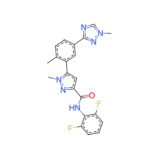 Cc1ccc(-c2ncn(C)n2)cc1-c1cc(C(=O)Nc2c(F)cccc2F)nn1C